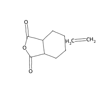 C=C.O=C1OC(=O)C2CCCCC12